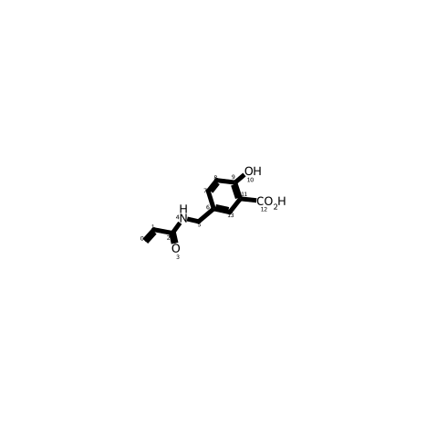 C=CC(=O)NCc1ccc(O)c(C(=O)O)c1